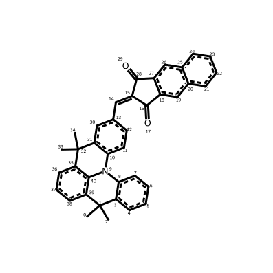 CC1(C)c2ccccc2N2c3ccc(C=C4C(=O)c5cc6ccccc6cc5C4=O)cc3C(C)(C)c3cccc1c32